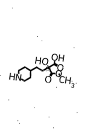 COC(=O)[C@](O)(CCC1CCNCC1)C(=O)O